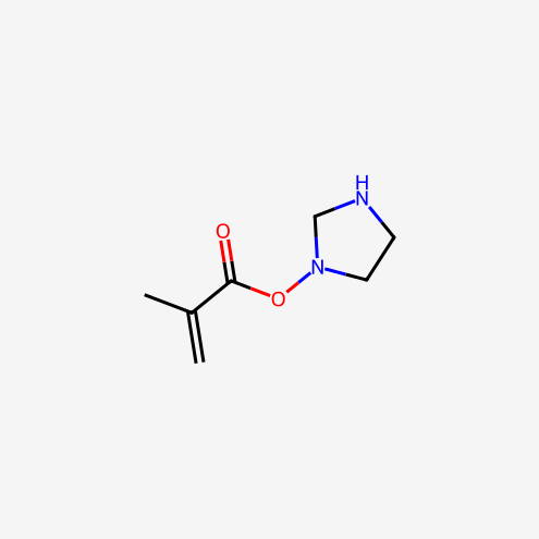 C=C(C)C(=O)ON1CCNC1